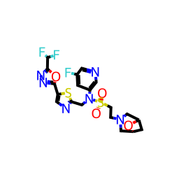 O=S(=O)(CCN1CC2CC(C1)O2)N(Cc1ncc(-c2nnc(C(F)F)o2)s1)c1cncc(F)c1